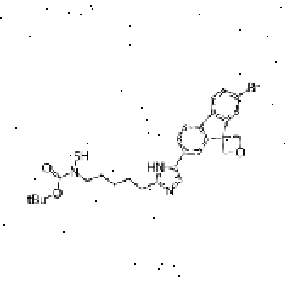 CC(C)(C)OC(=O)N(S)CCCCCc1ncc(-c2ccc3c(c2)C2(COC2)c2cc(Br)ccc2-3)[nH]1